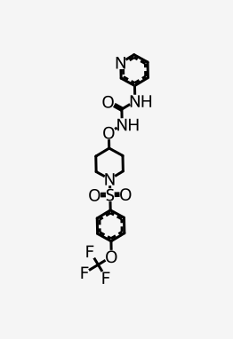 O=C(NOC1CCN(S(=O)(=O)c2ccc(OC(F)(F)F)cc2)CC1)Nc1cccnc1